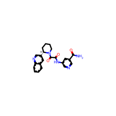 NC(=O)c1cncc(NC(=O)C(=O)N2CCCC[C@H]2c2cnc3ccccc3c2)c1